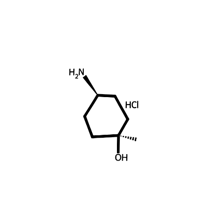 C[C@]1(O)CC[C@@H](N)CC1.Cl